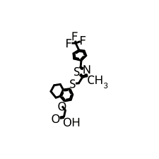 Cc1nc(-c2ccc(C(F)(F)F)cc2)sc1CSc1ccc(OCC(=O)O)c2c1CCCC2